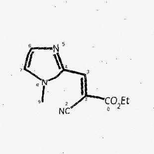 CCOC(=O)C(C#N)=Cc1nccn1C